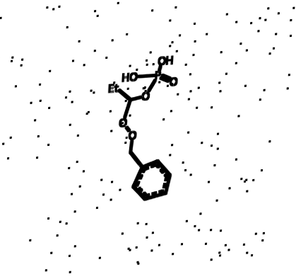 CCC(OOCc1ccccc1)OP(=O)(O)O